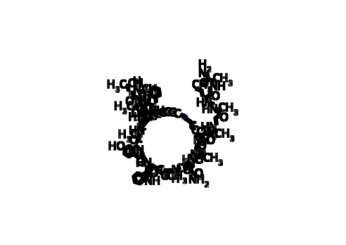 CCCC[C@H](NCN[C@@H](C)C(=O)CCN[C@@H](C)C(=O)CC(=O)[C@]1(C)CCC/C=C/CCCCCC[C@@](C)(NN[C@@H](Cc2ccccc2)C(=O)C(=O)[C@@H](NC(=O)[C@H](CC(C)C)NC(C)=O)[C@@H](C)O)C(=O)CN[C@@H](C)C(=O)CN[C@@H](Cc2ccc(O)cc2)C(=O)N[C@@](C)(Cc2c[nH]c3ccccc23)C(=O)CC(=O)[C@H](C)NCC(=O)[C@H](CCC(N)=O)NN[C@@H](CC(C)C)C(=O)N1)C(=O)CN[C@@H](C)C(=O)CN